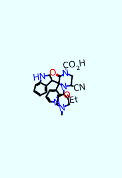 CCOc1ncccc1C1(C2CNc3ccccc32)C(=O)N(C(=O)O)CC(C#N)N1C1CCN(C)CC1